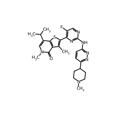 Cc1c(-c2nc(Nc3ccc(C4CCN(C)CC4)nn3)ncc2F)sc2c(C(C)C)cn(C)c(=O)c12